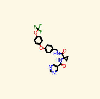 O=C(NC1(C(=O)NCc2ccc(Oc3ccc(OC(F)(F)F)cc3)cc2)CC1)c1cncnc1